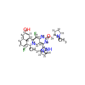 CCc1c(F)ccc2cc(O)cc(-c3ncc4c(N5CC6CCC5CN6)nc(OC[C@@H]5CCCN5C)nc4c3F)c12